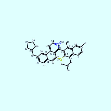 Cc1ccc2c(CC(C)C)c3c(c(C)c2c1)-c1c2c(cc4ccc(CC5CCCC5)cc4c2cc[n+]1C)S3